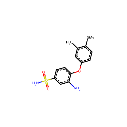 CSc1ccc(Oc2ccc(S(N)(=O)=O)cc2N)cc1C